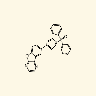 O=P(c1ccccc1)(c1ccccc1)c1ccc(-c2ccc3oc4nccnc4c3c2)cc1